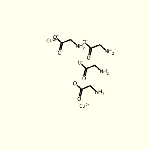 NCC(=O)[O-].NCC(=O)[O-].NCC(=O)[O-].NCC(=O)[O-].[Cu+2].[Cu+2]